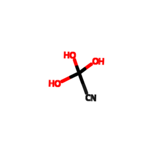 N#CC(O)(O)O